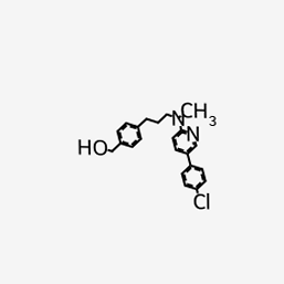 CN(CCCc1ccc(CO)cc1)c1ccc(-c2ccc(Cl)cc2)cn1